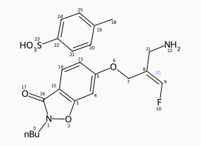 CCCCn1oc2cc(OC/C(=C\F)CN)ccc2c1=O.Cc1ccc(S(=O)(=O)O)cc1